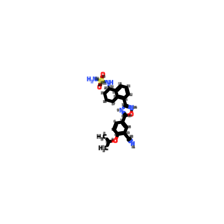 CC(C)Oc1ccc(-c2nc(-c3cccc4c3CCC[C@@H]4NS(N)(=O)=O)no2)cc1C#N